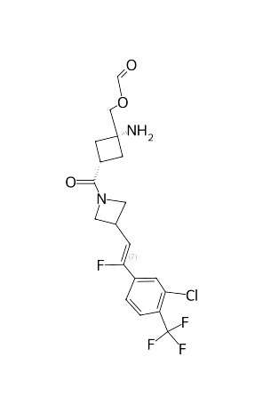 N[C@]1(COC=O)C[C@H](C(=O)N2CC(/C=C(\F)c3ccc(C(F)(F)F)c(Cl)c3)C2)C1